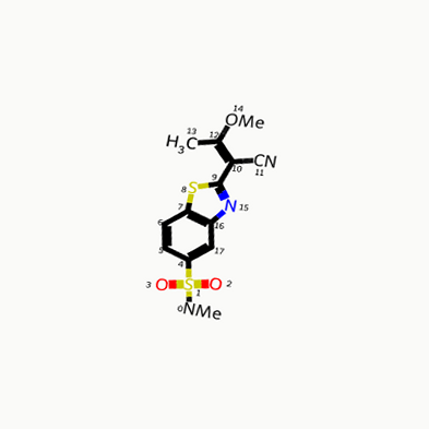 CNS(=O)(=O)c1ccc2sc(/C(C#N)=C(\C)OC)nc2c1